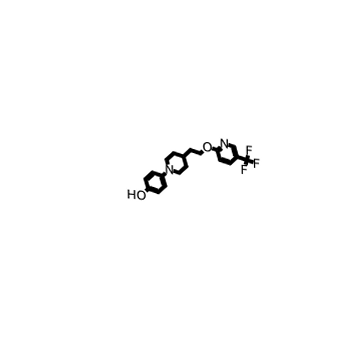 Oc1ccc(N2CCC(CCOc3ccc(C(F)(F)F)cn3)CC2)cc1